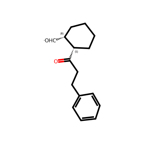 O=[C][C@@H]1CCCC[C@@H]1C(=O)CCc1ccccc1